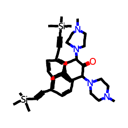 CN1CCN(C(Cc2cccc(C#C[Si](C)(C)C)c2)C(=O)C(Cc2cccc(C#C[Si](C)(C)C)c2)N2CCN(C)CC2)CC1